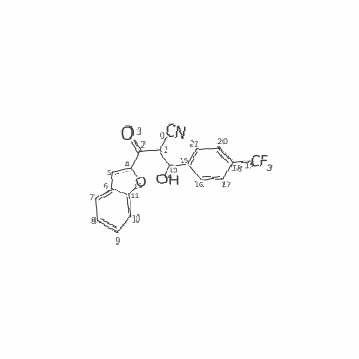 N#CC(C(=O)c1cc2ccccc2o1)C(O)c1ccc(C(F)(F)F)cc1